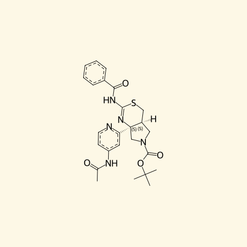 CC(=O)Nc1ccnc([C@@]23CN(C(=O)OC(C)(C)C)C[C@@H]2CSC(NC(=O)c2ccccc2)=N3)c1